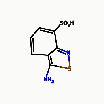 Nc1snc2c(S(=O)(=O)O)cccc12